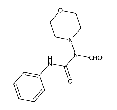 O=[C]N(C(=O)Nc1ccccc1)N1CCOCC1